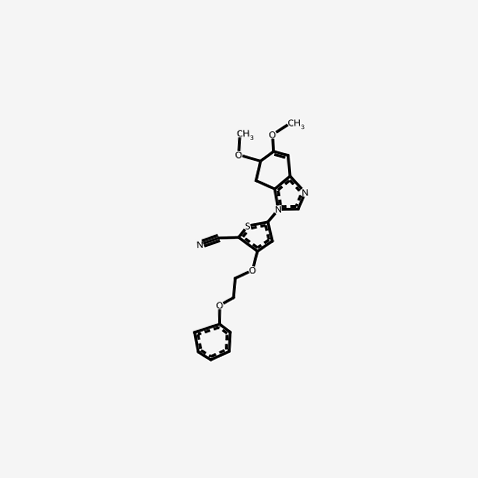 COC1=Cc2ncn(-c3cc(OCCOc4ccccc4)c(C#N)s3)c2CC1OC